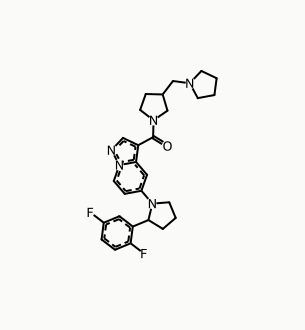 O=C(c1cnn2ccc(N3CCCC3c3cc(F)ccc3F)cc12)N1CCC(CN2CCCC2)C1